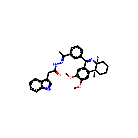 COc1cc2c(cc1OC)[C@H]1CCCC[C@H]1N=C2c1cccc(C(C)=NNC(=O)Cc2c[nH]c3ccccc23)c1